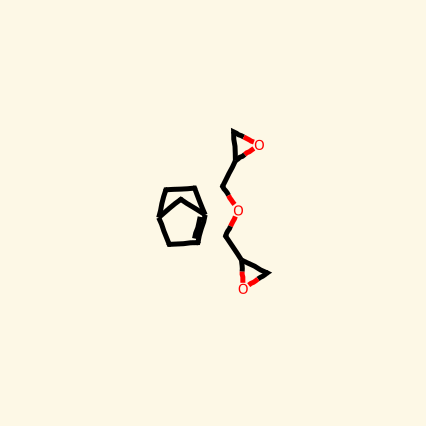 C(OCC1CO1)C1CO1.C1=C2CCC(C1)C2